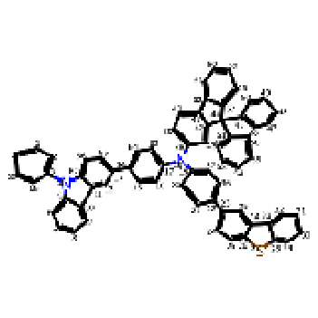 c1ccc(-n2c3ccccc3c3cc(-c4ccc(N(c5ccc(-c6ccc7sc8ccccc8c7c6)cc5)c5ccc6c(c5)C(c5ccccc5)(c5ccccc5)c5ccccc5-6)cc4)ccc32)cc1